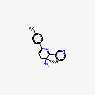 NC1(C(=O)O)CC=C(c2ccc(C(F)(F)F)cc2)N=C1c1cccnc1